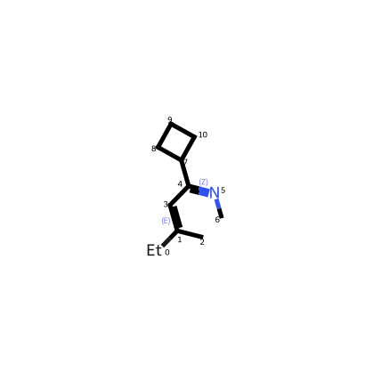 CC/C(C)=C/C(=N\C)C1CCC1